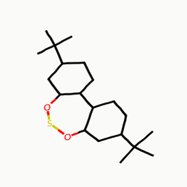 CC(C)(C)C1CCC2C(C1)OSOC1CC(C(C)(C)C)CCC12